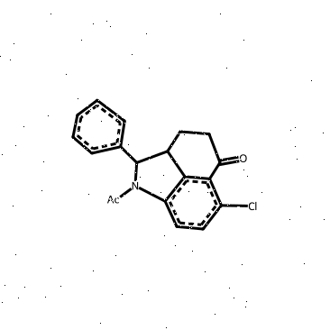 CC(=O)N1c2ccc(Cl)c3c2C(CCC3=O)C1c1ccccc1